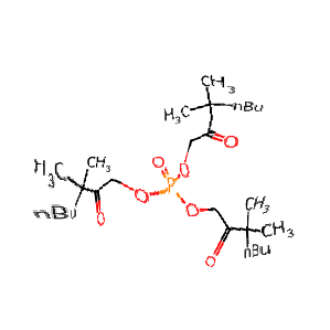 CCCCC(C)(C)C(=O)COP(=O)(OCC(=O)C(C)(C)CCCC)OCC(=O)C(C)(C)CCCC